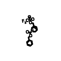 O=C(OCc1ccccc1)N1CC2C=CC1C(COS(=O)(=O)C(F)(F)F)C2